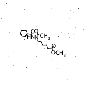 COC(=O)CCCCCN(NC(=O)c1ccccc1)C(C)=O